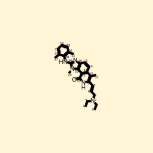 CCN(CC)CC=Cc1[nH]c(=O)c2c(ccc3nc(Nc4c(C)cccc4C)n(C)c32)c1C